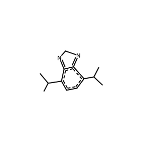 CC(C)c1ccc(C(C)C)c2c1=NCN=2